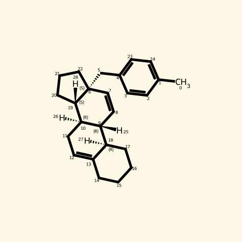 Cc1ccc(C[C@]23C=C[C@H]4[C@@H](CC=C5CCCC[C@@H]54)[C@@H]2CCC3)cc1